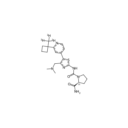 [2H]C([2H])([2H])C1(c2cc(-c3sc(NC(=O)N4CCC[C@H]4C(N)=O)nc3CN(C)C)ccn2)CCC1